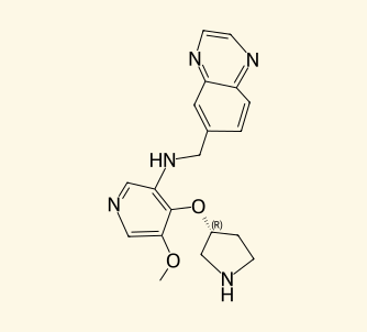 COc1cncc(NCc2ccc3nccnc3c2)c1O[C@@H]1CCNC1